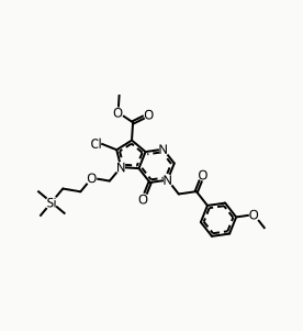 COC(=O)c1c(Cl)n(COCC[Si](C)(C)C)c2c(=O)n(CC(=O)c3cccc(OC)c3)cnc12